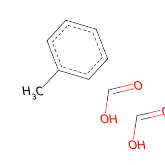 Cc1ccccc1.O=CO.O=CO